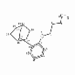 CCCCOc1nccnc1C1CN2CCC1CC2